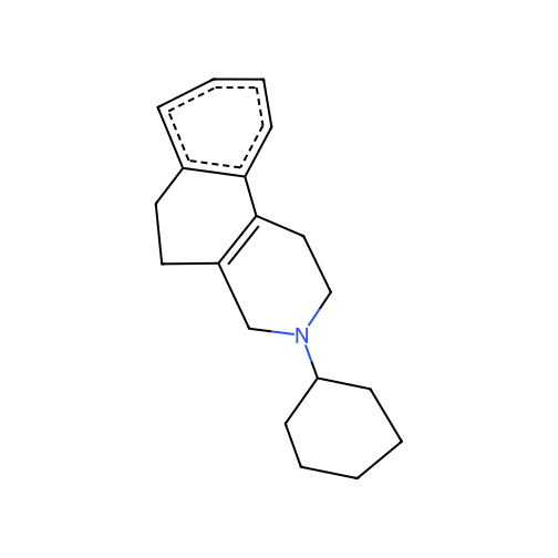 c1ccc2c(c1)CCC1=C2CCN(C2CCCCC2)C1